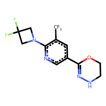 FC1(F)CN(c2ncc(C3=NNCCO3)cc2C(F)(F)F)C1